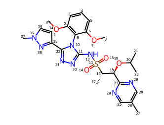 COc1cccc(OC)c1-n1c(NS(=O)(=O)[C@@H](C)[C@@H](OC(C)C)c2ncc(C)cn2)nnc1-c1ccn(C)n1